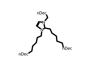 CCCCCCCCCCCCCCCC1N(CCCCCCCCCCC)C=CN1CCCCCCCCCCCCCCC